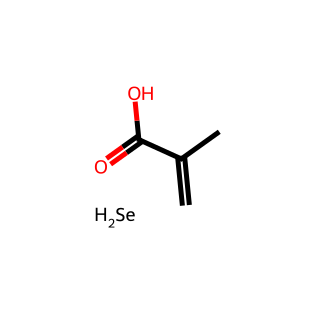 C=C(C)C(=O)O.[SeH2]